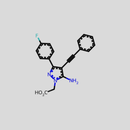 Nc1c(C#Cc2ccccc2)c(-c2ccc(F)cc2)nn1CC(=O)O